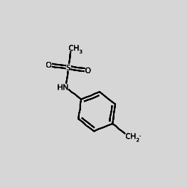 [CH2]c1ccc(NS(C)(=O)=O)cc1